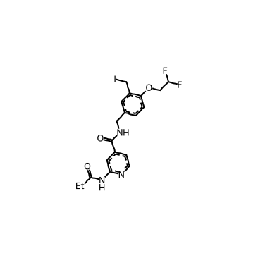 CCC(=O)Nc1cc(C(=O)NCc2ccc(OCC(F)F)c(CI)c2)ccn1